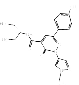 CC[C@@H](CO)NC(=O)c1cc(-c2ccc(C)cc2)nn(-c2cnn(C)c2)c1=O